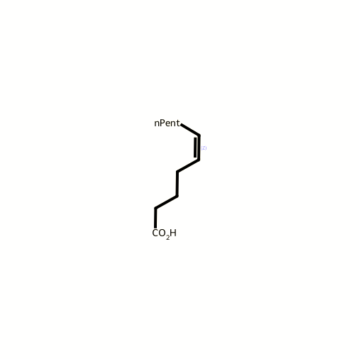 CCCCC/C=C\CCCC(=O)O